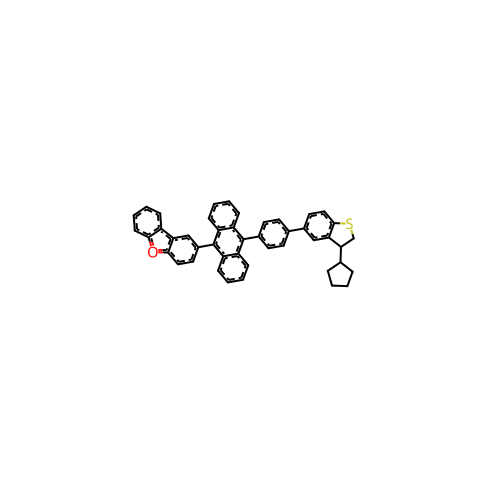 c1ccc2c(c1)oc1ccc(-c3c4ccccc4c(-c4ccc(-c5ccc6c(c5)C(C5CCCC5)CS6)cc4)c4ccccc34)cc12